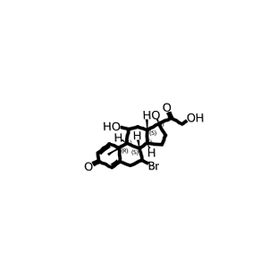 C[C@]12C=CC(=O)C=C1CC(Br)[C@@H]1[C@@H]2C(O)C[C@@]2(C)[C@H]1CC[C@]2(O)C(=O)CO